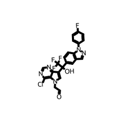 O=CCn1cc(C(O)(c2ccc3c(cnn3-c3ccc(F)cc3)c2)C(F)(F)F)c2ncnc(Cl)c21